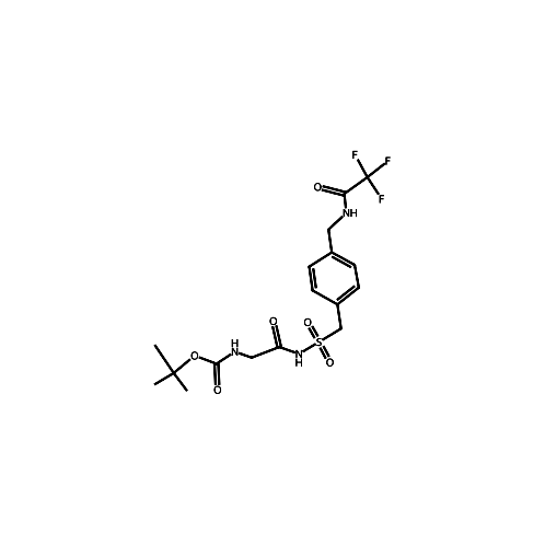 CC(C)(C)OC(=O)NCC(=O)NS(=O)(=O)Cc1ccc(CNC(=O)C(F)(F)F)cc1